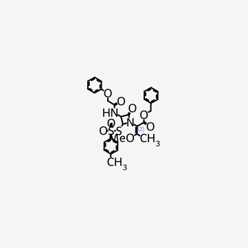 CO/C(C)=C(/C(=O)OCc1ccccc1)N1C(=O)C(NC(=O)COc2ccccc2)C1SS(=O)(=O)c1ccc(C)cc1